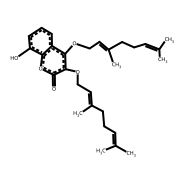 CC(C)=CCC/C(C)=C/COc1c(OC/C=C(\C)CCC=C(C)C)c2cccc(O)c2oc1=O